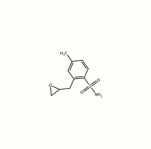 Cc1ccc(S(N)(=O)=O)c(CC2CO2)c1